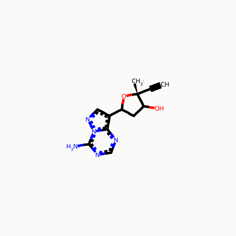 C#C[C@@]1([CH2])OC(c2cnn3c(N)ncnc23)CC1O